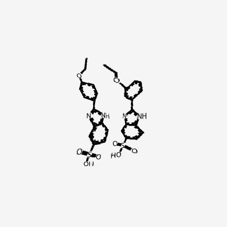 CCOc1ccc(-c2nc3cc(S(=O)(=O)O)ccc3[nH]2)cc1.CCOc1cccc(-c2nc3cc(S(=O)(=O)O)ccc3[nH]2)c1